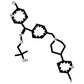 CC(C)(O)CO/N=C(\c1ccc(CN2CCC(c3ccc(F)nc3)CC2)cc1)c1ccc(Cl)nc1